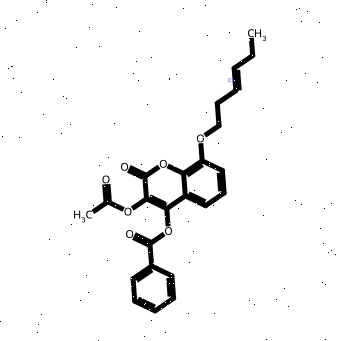 CC/C=C/CCOc1cccc2c(OC(=O)c3ccccc3)c(OC(C)=O)c(=O)oc12